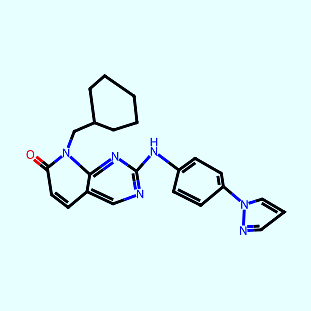 O=c1ccc2cnc(Nc3ccc(-n4cccn4)cc3)nc2n1CC1CCCCC1